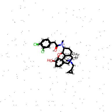 CC(=O)O[C@@]12CCC(N(C)C(=O)Cc3ccc(Cl)c(Cl)c3)C3Oc4c(O)ccc5c4[C@@]31CCN(CC1CC1)[C@@H]2C5